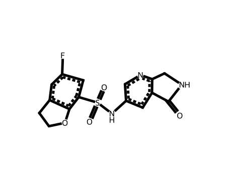 O=C1NCc2ncc(NS(=O)(=O)c3cc(F)cc4c3OCC4)cc21